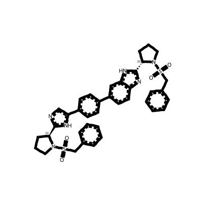 O=S(=O)(Cc1ccccc1)N1CCC[C@H]1c1ncc(-c2ccc(-c3ccc4nc([C@@H]5CCCN5S(=O)(=O)Cc5ccccc5)[nH]c4c3)cc2)[nH]1